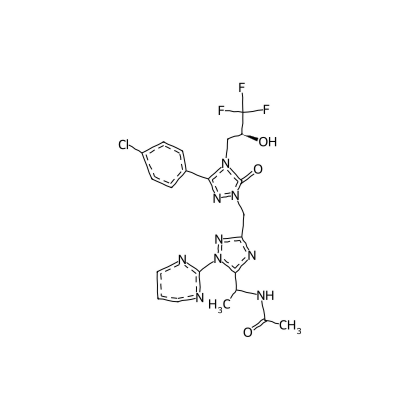 CC(=O)NC(C)c1nc(Cn2nc(-c3ccc(Cl)cc3)n(C[C@H](O)C(F)(F)F)c2=O)nn1-c1ncccn1